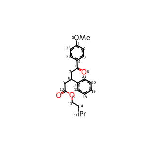 COc1ccc(C(=O)CC(CC(=O)OCCC(C)C)c2ccccc2)cc1